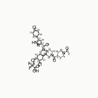 CC(=O)N1CCC(C(=O)N2CC[C@@H](N(C)C(=O)c3cc(-c4ccc(Cl)cc4)[nH]n3)[C@H](c3ccc(Cl)c(Cl)c3)C2)CC1.O=C(O)C(F)(F)F